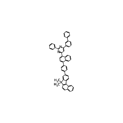 CC1(C)c2cc(-c3ccc(-c4ccc(-c5cc(-c6cccc(-c7ccccc7)c6)nc(-c6ccccc6)n5)c5ccccc45)cc3)ccc2-c2c1ccc1ccccc21